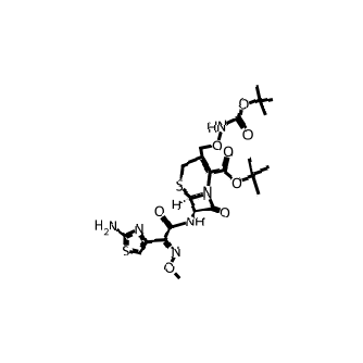 CON=C(C(=O)N[C@@H]1C(=O)N2C(C(=O)OC(C)(C)C)=C(CONC(=O)OC(C)(C)C)CS[C@H]12)c1csc(N)n1